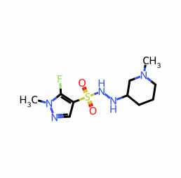 CN1CCCC(NNS(=O)(=O)c2cnn(C)c2F)C1